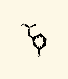 CC(C)N(C)Cc1cccc(O)c1